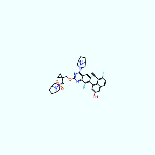 C#Cc1c(F)ccc2cc(O)cc(-c3c(F)cc4c(N5CC6CCC(C5)N6)nc(OCC5(CN6CC7CCC(C6)N7S(C)(=O)=O)CC5)nc4c3F)c12